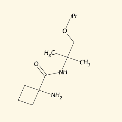 CC(C)OCC(C)(C)NC(=O)C1(N)CCC1